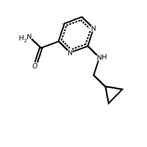 NC(=O)c1[c]cnc(NCC2CC2)n1